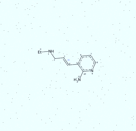 CCNC/C=C/c1cccnc1N